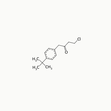 CC(C)(C)c1ccc(CC(=O)CCCl)cc1